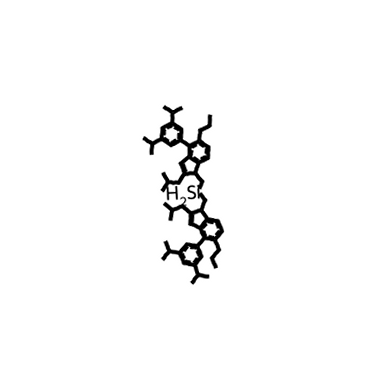 CCCc1ccc2c(c1-c1cc(C(C)C)cc(C(C)C)c1)C=C(CC(C)C)C2C[SiH2]CC1C(CC(C)C)=Cc2c1ccc(CCC)c2-c1cc(C(C)C)cc(C(C)C)c1